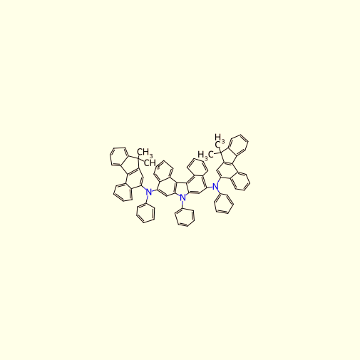 CC1(C)c2ccccc2-c2c1cc(N(c1ccccc1)c1cc3c(c4ccccc14)c1c4ccccc4c(N(c4ccccc4)c4cc5c(c6ccccc46)-c4ccccc4C5(C)C)cc1n3-c1ccccc1)c1ccccc21